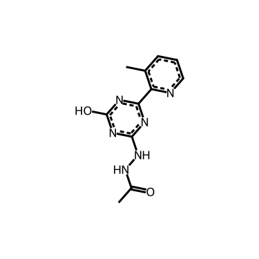 CC(=O)NNc1nc(O)nc(-c2ncccc2C)n1